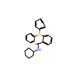 O=C(NC1CCCCC1)c1ccccc1P(c1ccccc1)c1ccccc1